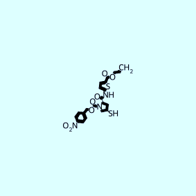 C=CCOC(=O)c1ccc(NC(=O)[C@@H]2C[C@H](S)CN2C(=O)OCc2ccc([N+](=O)[O-])cc2)s1